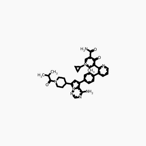 Cc1c(-c2ncccc2-c2ccc(-c3cc(C4CCN(C(=O)C(C)C)CC4)n4ncnc(N)c34)cc2)c(=O)c(C(N)=O)cn1C1CC1